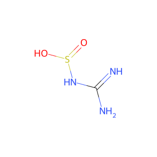 N=C(N)NS(=O)O